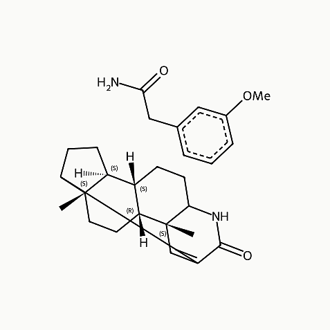 COc1cccc(CC(N)=O)c1.C[C@]12C=C3C(=O)NC1CC[C@@H]1[C@H]2CC[C@]2(C)C3CC[C@@H]12